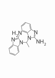 CC(n1c(N)nc2ccccc21)n1c(N)nc2ccccc21